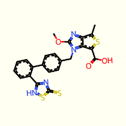 COc1nc2c(C)sc(C(=O)O)c2n1Cc1ccc(-c2ccccc2-c2nc(=S)s[nH]2)cc1